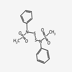 CS(=O)(=O)N(SSN(c1ccccc1)S(C)(=O)=O)c1ccccc1